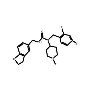 CN1CCC(N(Cc2ccc(F)cc2F)C(=O)NCc2ccc3c(c2)CCO3)CC1